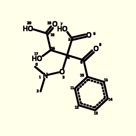 CN(C)OC(C(=O)O)(C(=O)c1ccccc1)C(O)C(=O)O